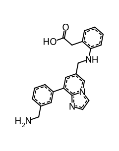 NCc1cccc(-c2cc(CNc3ccccc3CC(=O)O)cn3ccnc23)c1